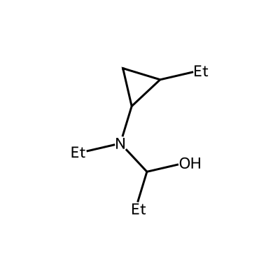 CCC1CC1N(CC)C(O)CC